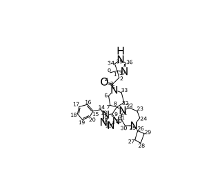 CC1(CC(=O)N2CCC(c3nnnn3Cc3ccccc3)(N3CCCN(C4CCC4)CC3)CC2)CNC=N1